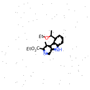 CCOC(=O)c1ncc2[nH]c3cccc(C(C)OCC)c3c2c1C